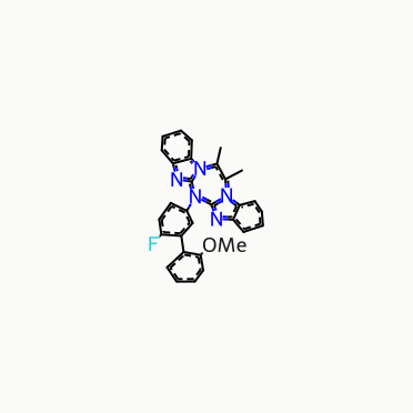 COc1ccccc1-c1cc(-n2c3nc4ccccc4n3c(C)c(C)n3c4ccccc4nc23)ccc1F